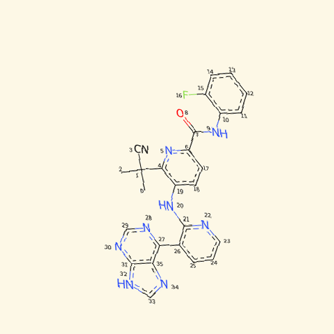 CC(C)(C#N)c1nc(C(=O)Nc2ccccc2F)ccc1Nc1ncccc1-c1ncnc2[nH]cnc12